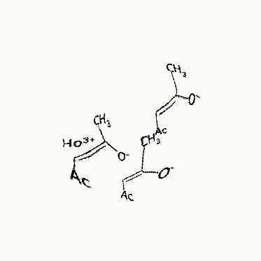 CC(=O)/C=C(/C)[O-].CC(=O)/C=C(/C)[O-].CC(=O)/C=C(/C)[O-].[Ho+3]